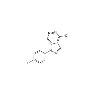 Fc1ccc(-n2ncc3c(Cl)nncc32)cc1